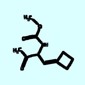 COC(=O)NC(C=C1CCC1)C(C)=O